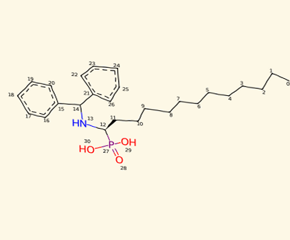 CCCCCCCCCCCC[C@H](NC(c1ccccc1)c1ccccc1)P(=O)(O)O